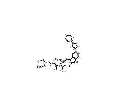 CCN(CC)CCNC(=O)c1c(C)[nH]c(/C=C2\C(=O)Nc3ccc(-c4cn(-c5ccccc5)nn4)cc32)c1C